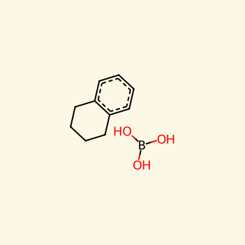 OB(O)O.c1ccc2c(c1)CCCC2